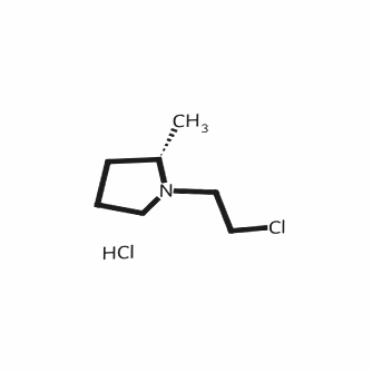 C[C@H]1CCCN1CCCl.Cl